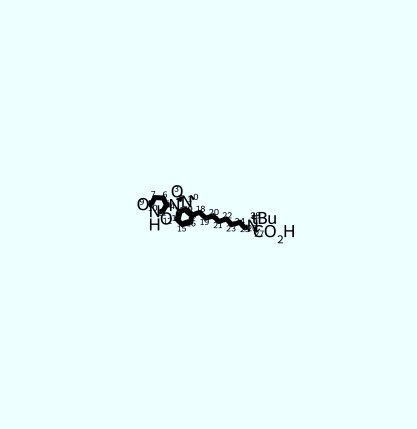 Cn1c(=O)n(C2CCC(=O)NC2=O)c2cccc(CCCCCCCCN(C(=O)O)C(C)(C)C)c21